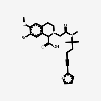 COc1cc2c(cc1Br)C(C(=O)O)N(CC(=O)N(C)C(C)(C)CCC#Cc1cccs1)CC2